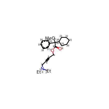 CCN(CC)CC#CCOC(=O)C(OC)(c1ccccc1)C1CCCCC1